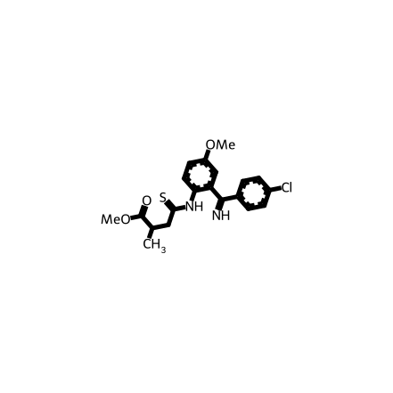 COC(=O)C(C)CC(=S)Nc1ccc(OC)cc1C(=N)c1ccc(Cl)cc1